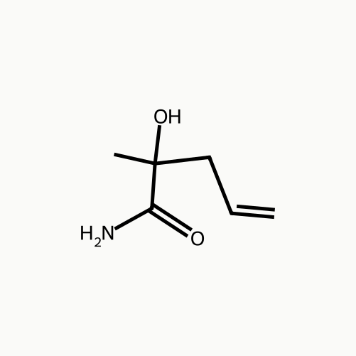 C=CCC(C)(O)C(N)=O